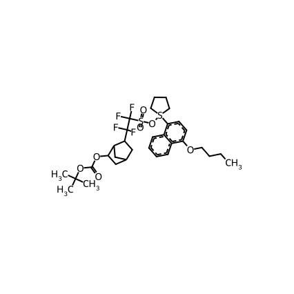 CCCCOc1ccc(S2(OS(=O)(=O)C(F)(F)C(F)(F)C3CC4CC(OC(=O)OC(C)(C)C)C3C4)CCCC2)c2ccccc12